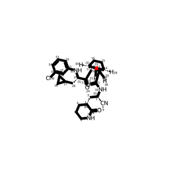 N#C[C@H](C[C@H]1CCCNC1=O)NC(=O)[C@H]1[C@@H]2CC[C@@H](CC2(F)F)N1C(=O)[C@H](CC1CC1)Nc1cccc(Cl)c1